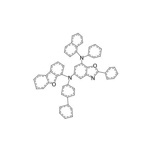 c1ccc(-c2ccc(N(c3cc(N(c4ccccc4)c4cccc5ccccc45)c4oc(-c5ccccc5)nc4c3)c3cccc4c3oc3ccccc34)cc2)cc1